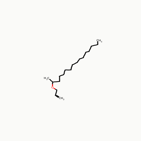 C=CCOC(C)CCCCCCCCCCCCCC